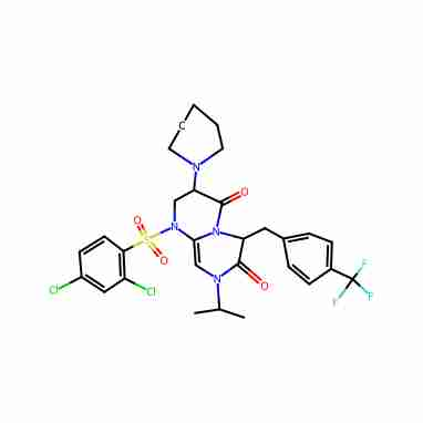 CC(C)N1C=C2N(C(=O)C(N3CCCCC3)CN2S(=O)(=O)c2ccc(Cl)cc2Cl)C(Cc2ccc(C(F)(F)F)cc2)C1=O